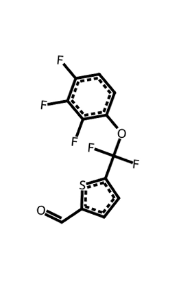 O=Cc1ccc(C(F)(F)Oc2ccc(F)c(F)c2F)s1